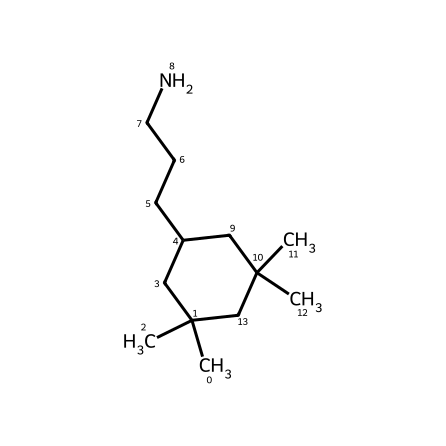 CC1(C)CC(CCCN)CC(C)(C)C1